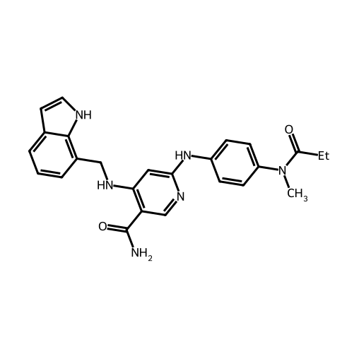 CCC(=O)N(C)c1ccc(Nc2cc(NCc3cccc4cc[nH]c34)c(C(N)=O)cn2)cc1